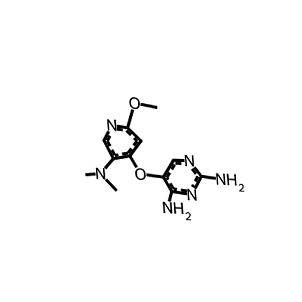 COc1cc(Oc2cnc(N)nc2N)c(N(C)C)cn1